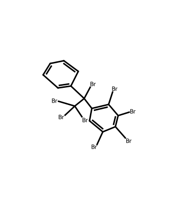 Brc1cc(C(Br)(c2ccccc2)C(Br)(Br)Br)c(Br)c(Br)c1Br